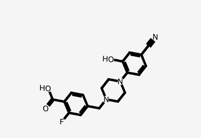 N#Cc1ccc(N2CCN(Cc3ccc(C(=O)O)c(F)c3)CC2)c(O)c1